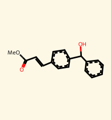 COC(=O)/C=C/c1ccc(C(O)c2ccccc2)cc1